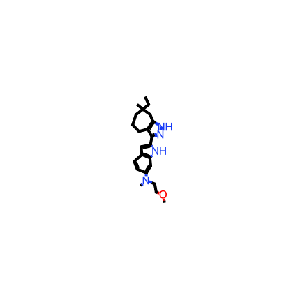 CCC1(C)CCCc2c(-c3cc4ccc(N(C)CCOC)cc4[nH]3)n[nH]c2C1